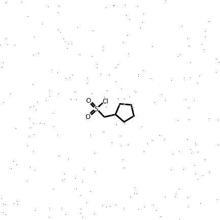 O=S(=O)(Cl)CC1CCCC1